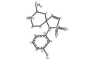 CC1CC2(C=CS(=O)(=O)N2c2cccc(F)c2)CCN1